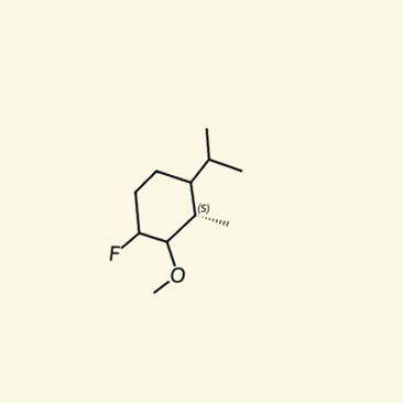 COC1C(F)CCC(C(C)C)[C@@H]1C